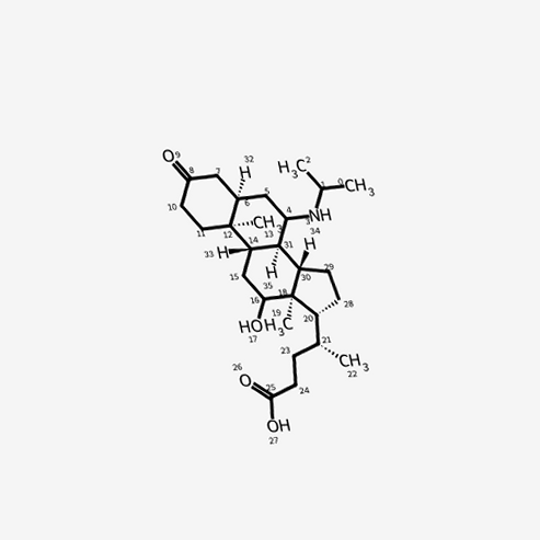 CC(C)NC1C[C@@H]2CC(=O)CC[C@]2(C)[C@H]2CC(O)[C@]3(C)[C@@H]([C@H](C)CCC(=O)O)CC[C@H]3[C@H]12